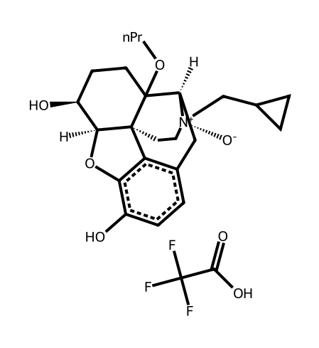 CCCOC12CC[C@H](O)[C@@H]3Oc4c(O)ccc5c4[C@@]31CC[N@+]([O-])(CC1CC1)[C@@H]2C5.O=C(O)C(F)(F)F